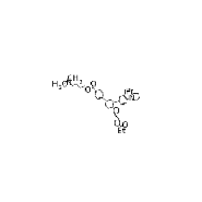 CCC(=O)OCCOc1ccc(-c2ccc(C(=O)OCCCCN(C)C)cc2)cc1-c1ccc(N2CCCC2)c(C(C)C)c1